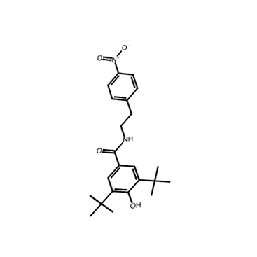 CC(C)(C)c1cc(C(=O)NCCc2ccc([N+](=O)[O-])cc2)cc(C(C)(C)C)c1O